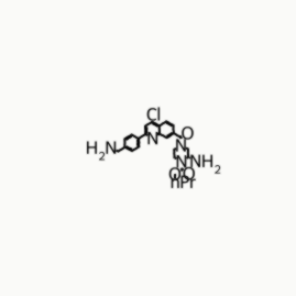 CCCOC(=O)N1CCN(C(=O)c2ccc3c(Cl)cc(-c4ccc(CN)cc4)nc3c2)C[C@H]1N